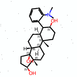 CN(C)c1ccccc1C1[C@@H](O)CC[C@@]2(C)[C@H]1CC[C@@H]1[C@@H]2CC[C@]2(C)[C@@H](O)CC[C@]12O